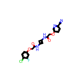 N#Cc1ccc(OCC(=O)NC23CC(NC(=O)COc4ccc(Cl)c(F)c4)(C2)C3)cn1